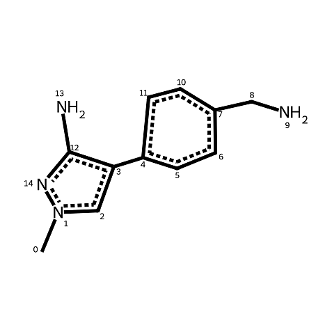 Cn1cc(-c2ccc(CN)cc2)c(N)n1